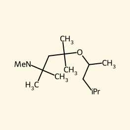 CNC(C)(C)CC(C)(C)OC(C)CC(C)C